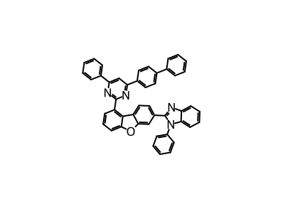 c1ccc(-c2ccc(-c3cc(-c4ccccc4)nc(-c4cccc5oc6cc(-c7nc8ccccc8n7-c7ccccc7)ccc6c45)n3)cc2)cc1